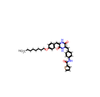 O=C(O)CCCCCCCOc1ccc(/C=c2/[nH]c(=O)/c(=C/c3ccc(NC(=O)c4cccs4)cc3)[nH]c2=O)cc1